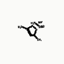 CC1=CC(C)SS1.NC(=O)[O-].[Na+]